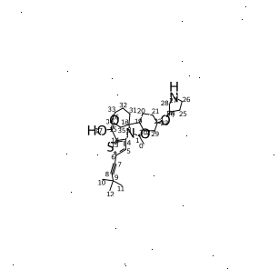 CC(=O)N(c1cc(C#CC(C)(C)C)sc1C(=O)O)C1(C2CCC(O[C@@H]3CCNC3)CC2)CCCCC1